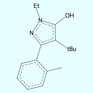 CCn1nc(-c2ccccc2C)c(C(C)(C)C)c1O